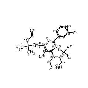 CC(C)(C)OC=O.Fc1cc(-c2nc(Cl)c(Cl)c(N3CCNCC3C(F)(F)F)n2)ccn1